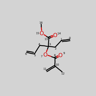 C=CCC(CC=C)(OC(=O)C(=C)C)C(=O)OC